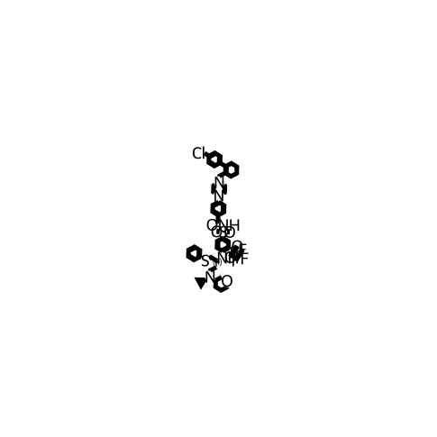 O=C(NS(=O)(=O)c1ccc(N[C@H](CCN(C2CC2)C2CCCOC2)CSc2ccccc2)c(S(=O)(=O)C(F)(F)F)c1)c1ccc(N2CCN(CC3=C(c4ccc(Cl)cc4)CCCC3)CC2)cc1